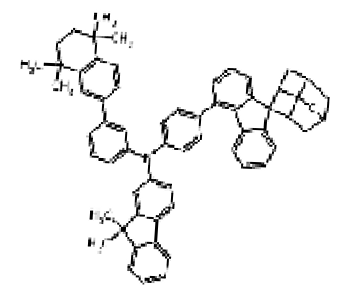 CC1(C)CCC(C)(C)c2cc(-c3cccc(N(c4ccc(-c5cccc6c5-c5ccccc5C65C6CC7CC8CC5C86C7)cc4)c4ccc5c(c4)C(C)(C)c4ccccc4-5)c3)ccc21